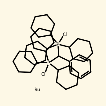 ClP(C1CCCCC1)(C1CCCCC1)(C1CCCCC1)C(c1ccccc1)P(Cl)(C1CCCCC1)(C1CCCCC1)C1CCCCC1.[Ru]